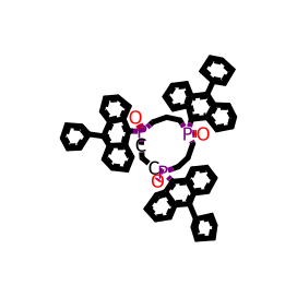 O=P1(c2c3ccccc3c(-c3ccccc3)c3ccccc23)CCCP(=O)(c2c3ccccc3c(-c3ccccc3)c3ccccc23)CCCP(=O)(c2c3ccccc3c(-c3ccccc3)c3ccccc23)CCC1